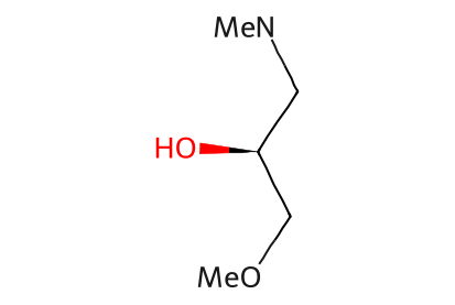 CNC[C@H](O)COC